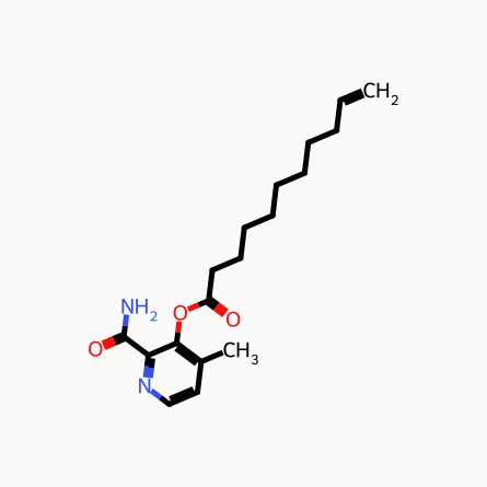 C=CCCCCCCCCC(=O)Oc1c(C)ccnc1C(N)=O